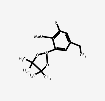 COc1c(F)cc(CC(F)(F)F)cc1B1OC(C)(C)C(C)(C)O1